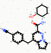 N#Cc1ccc(Cc2cc(C(=O)N[C@H]3CCCC[C@@H]3O)nn3cccc23)cc1